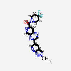 Cn1cc2cc(-c3cnc4cc(C(=O)N5CCC(F)(F)CC5)ncc4n3)cnc2n1